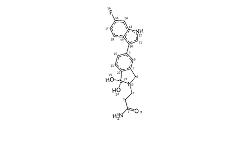 NC(=O)CCN1Cc2cc(-c3c[nH]c4cc(F)ccc34)ccc2S1(O)O